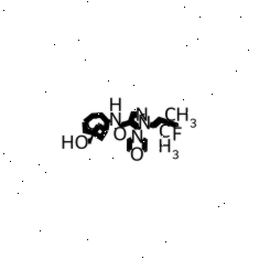 CC(C)(/C=C/n1ncc(C(=O)N[C@@H]2CCC3CC4C2C[C@]4(CO)C3)c1N1CCOCC1)CF